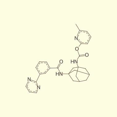 Cc1cccc(OC(=O)NC23CC4CC(C2)CC(NC(=O)c2cccc(-c5ncccn5)c2)(C4)C3)n1